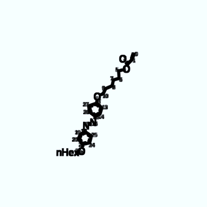 C=CC(=O)OCCCCCCOc1ccc(N=Nc2ccc(OCCCCCC)cc2)cc1